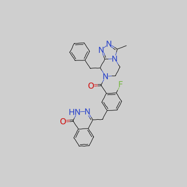 Cc1nnc2n1CCN(C(=O)c1cc(Cc3n[nH]c(=O)c4ccccc34)ccc1F)C2Cc1ccccc1